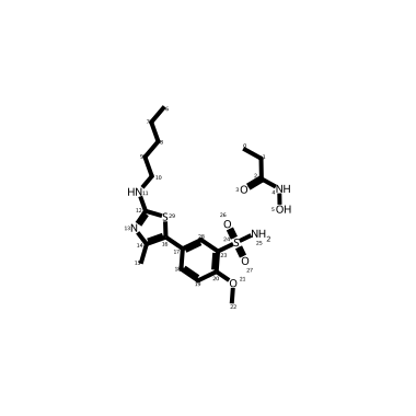 CCC(=O)NO.CCCCCNc1nc(C)c(-c2ccc(OC)c(S(N)(=O)=O)c2)s1